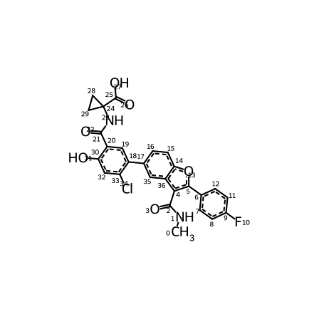 CNC(=O)c1c(-c2ccc(F)cc2)oc2ccc(-c3cc(C(=O)NC4(C(=O)O)CC4)c(O)cc3Cl)cc12